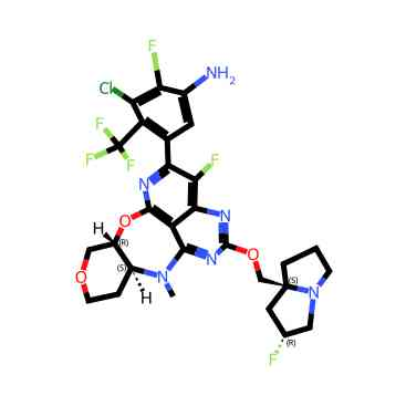 CN1c2nc(OC[C@@]34CCCN3C[C@H](F)C4)nc3c(F)c(-c4cc(N)c(F)c(Cl)c4C(F)(F)F)nc(c23)O[C@H]2COCC[C@@H]21